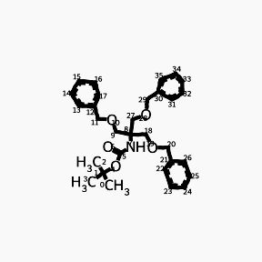 CC(C)(C)OC(=O)NC(COCc1ccccc1)(COCc1ccccc1)COCc1ccccc1